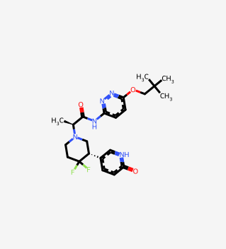 C[C@@H](C(=O)Nc1ccc(OCC(C)(C)C)nn1)N1CCC(F)(F)[C@@H](c2ccc(=O)[nH]c2)C1